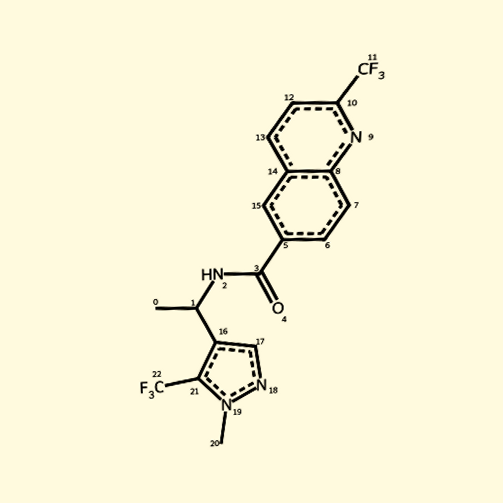 CC(NC(=O)c1ccc2nc(C(F)(F)F)ccc2c1)c1cnn(C)c1C(F)(F)F